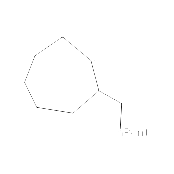 [CH2]CCCCCC1[CH]CCCCC1